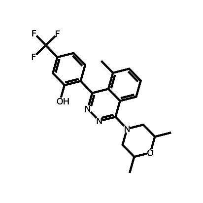 Cc1cccc2c(N3CC(C)OC(C)C3)nnc(-c3ccc(C(F)(F)F)cc3O)c12